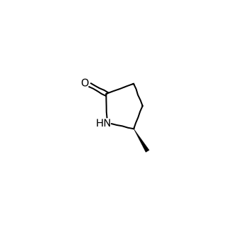 C[C@@H]1CCC(=O)N1